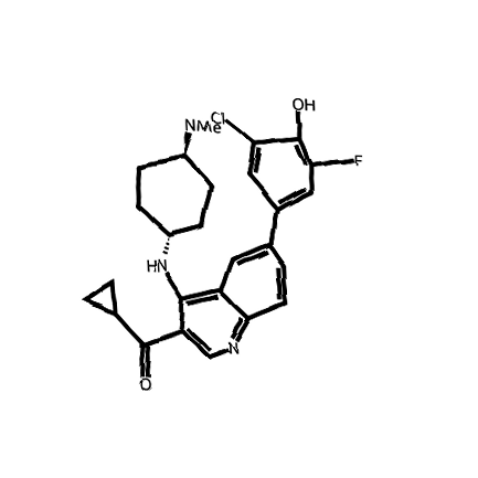 CN[C@H]1CC[C@H](Nc2c(C(=O)C3CC3)cnc3ccc(-c4cc(F)c(O)c(Cl)c4)cc23)CC1